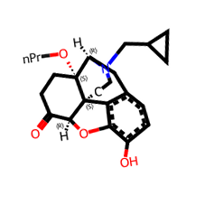 CCCO[C@@]12CCC(=O)[C@@H]3Oc4c(O)ccc5c4[C@@]31CCN(CC1CC1)[C@@H]2C5